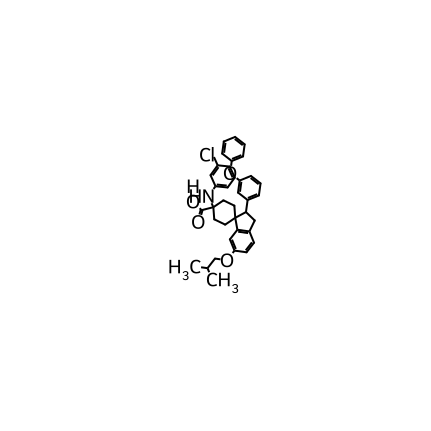 CC(C)COc1ccc2c(c1)C1(CCC(Nc3cccc(Cl)c3)(C(=O)O)CC1)C(c1cccc(Oc3ccccc3)c1)C2